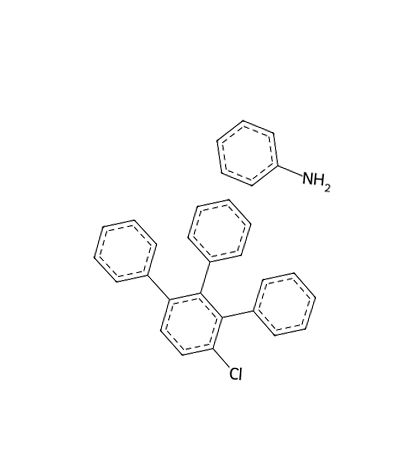 Clc1ccc(-c2ccccc2)c(-c2ccccc2)c1-c1ccccc1.Nc1ccccc1